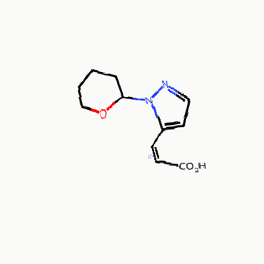 O=C(O)/C=C\c1ccnn1C1CCCCO1